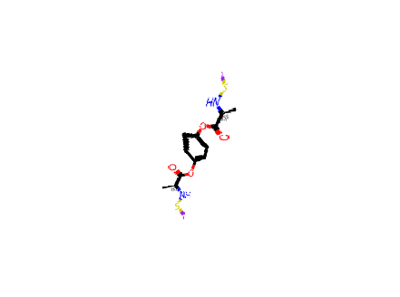 C[C@H](NSI)C(=O)Oc1ccc(OC(=O)[C@H](C)NSI)cc1